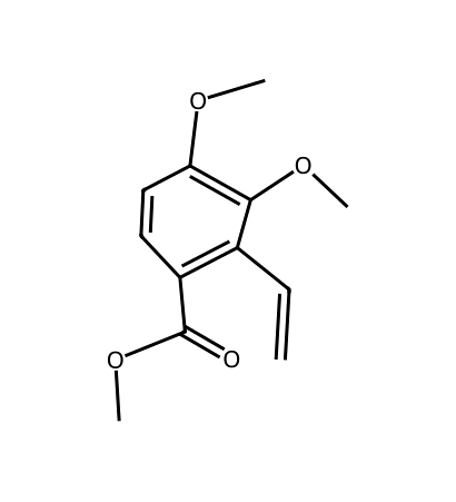 C=Cc1c(C(=O)OC)ccc(OC)c1OC